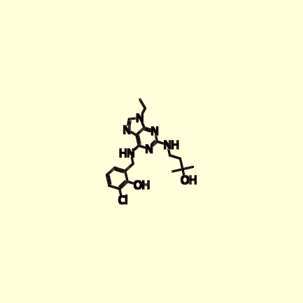 CCn1cnc2c(NCc3cccc(Cl)c3O)nc(NCCC(C)(C)O)nc21